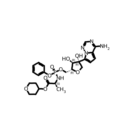 C[C@H](NP(=O)(OC[C@H]1OC[C@](O)(c2ccc3c(N)ncnn23)[C@@H]1O)Oc1ccccc1)C(=O)OC1CCOCC1